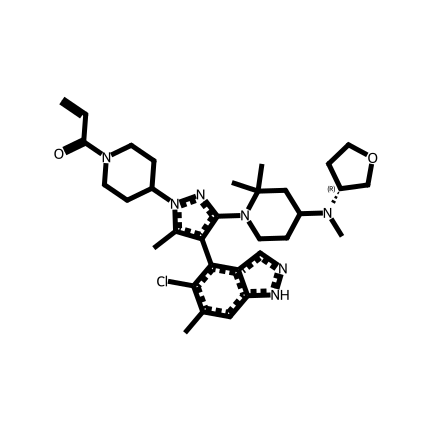 C=CC(=O)N1CCC(n2nc(N3CCC(N(C)[C@@H]4CCOC4)CC3(C)C)c(-c3c(Cl)c(C)cc4[nH]ncc34)c2C)CC1